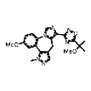 COc1ccc2c(c1)-c1c(cnn1C)Cc1c(-c3noc(C(C)(C)OC)n3)ncn1-2